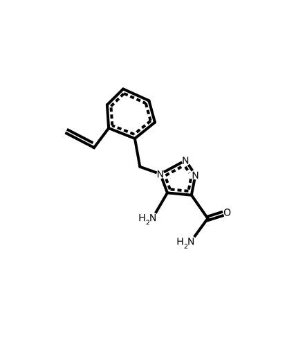 C=Cc1ccccc1Cn1nnc(C(N)=O)c1N